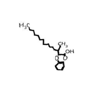 CCCCCCCCCCCCC(CC)C(Oc1ccccc1)C(=O)O